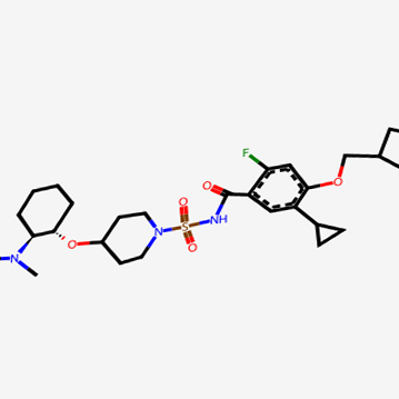 CN(C)[C@H]1CCCC[C@@H]1OC1CCN(S(=O)(=O)NC(=O)c2cc(C3CC3)c(OCC3CCCC3)cc2F)CC1